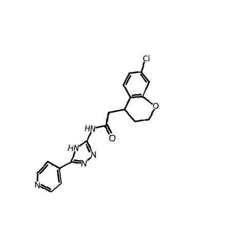 O=C(CC1CCOc2cc(Cl)ccc21)Nc1nnc(-c2ccncc2)[nH]1